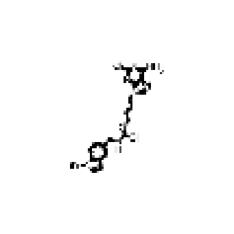 CC(C)n1ccc2cc(CNC(O)OCCCCn3cnc4c(N)nc(Cl)nc43)ccc21